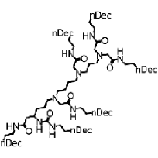 CCCCCCCCCCCCNC(=O)CC(CCCN(CCCCN(CCCN(CC(=O)NCCCCCCCCCCCC)CC(=O)NCCCCCCCCCCCC)CC(=O)NCCCCCCCCCCCC)CC(=O)NCCCCCCCCCCCC)NC(=O)NCCCCCCCCCCCC